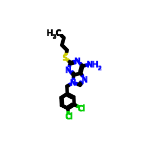 CCCCSc1nc(N)c2ncn(Cc3ccc(Cl)c(Cl)c3)c2n1